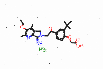 Br.CCOc1c(C)nc2c(c1C)CN(CC(=O)c1ccc(OCC(=O)O)c(C(C)(C)C)c1)C2=N